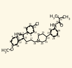 COc1ccc2[nH]c(-c3ccc(Cl)cc3)c(CCCN3CCC(c4cccc(NC(=O)C(C)C)c4)CC3)c2c1